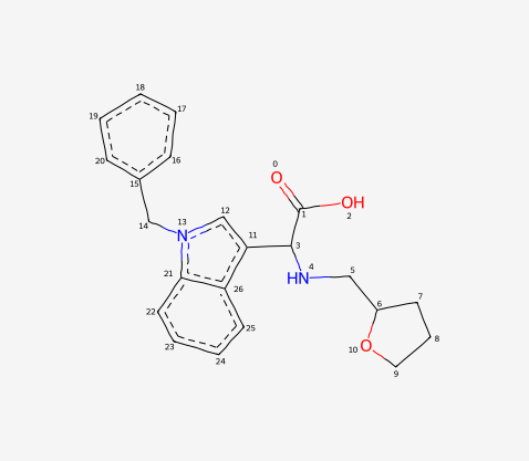 O=C(O)C(NCC1CCCO1)c1cn(Cc2ccccc2)c2ccccc12